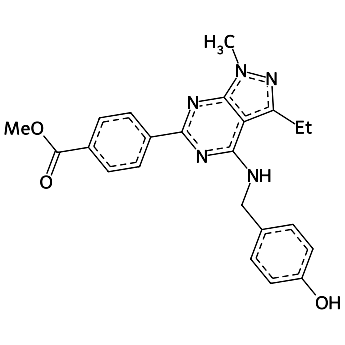 CCc1nn(C)c2nc(-c3ccc(C(=O)OC)cc3)nc(NCc3ccc(O)cc3)c12